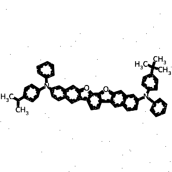 CC(C)c1ccc(N(c2ccccc2)c2ccc3cc4c(cc3c2)oc2c4ccc3c4cc5ccc(N(c6ccccc6)c6ccc(C(C)(C)C)cc6)cc5cc4oc32)cc1